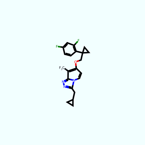 Fc1ccc(C2(COc3ccn4c(CC5CC5)nnc4c3C(F)(F)F)CC2)c(F)c1